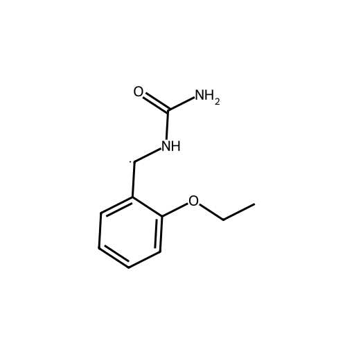 CCOc1ccccc1[CH]NC(N)=O